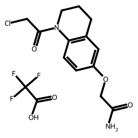 NC(=O)COc1ccc2c(c1)CCCN2C(=O)CCl.O=C(O)C(F)(F)F